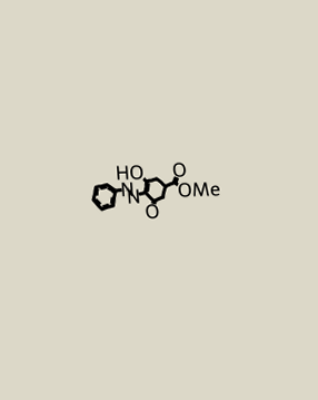 COC(=O)C1CC(=O)C(N=Nc2ccccc2)=C(O)C1